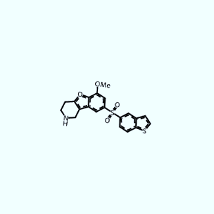 COc1cc(S(=O)(=O)c2ccc3sccc3c2)cc2c3c(oc12)CCNC3